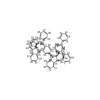 c1ccc(-c2nc(-c3ccccc3)nc(-c3cc(-n4c5ccccc5c5ccccc54)c(-n4c5ccccc5c5ccccc54)cc3-n3c4ccccc4c4ccccc43)n2)cc1